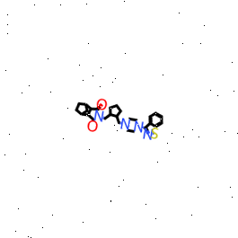 O=C1C2C3CCC(C3)C2C(=O)N1CC1CCCC1CN1CCN(c2nsc3ccccc23)CC1